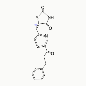 O=C1NC(=O)/C(=C\c2ccc(C(=O)CCc3ccccc3)cn2)S1